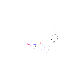 O=C(NCC(Cc1ccc(F)cc1F)C1CC1)c1coc(=O)[nH]1